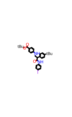 CC(C)(C)OC(=O)c1ccc(NCC(C(=O)Nc2ccc(I)cc2)c2ccc(C(C)(C)C)cc2)cc1